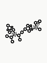 c1ccc(-c2cc(-c3ccccc3)cc(-c3nc(-c4cc(-c5ccccc5)cc(-c5ccc(-c6ccc7c(c6)-c6ccccc6C6(c8ccccc8-7)c7ccccc7-c7c(-c8nc(-c9ccccc9)nc(-c9cccc%10c9oc9ccccc9%10)n8)cccc76)cc5)c4)nc(-c4cccc5c4-c4ccccc4C54c5ccccc5-c5ccccc5-c5ccccc54)n3)c2)cc1